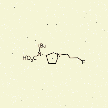 CC(C)(C)N(C(=O)O)[C@H]1CCN(CCCF)C1